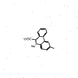 Cc1ccc2c(c1)-c1ccccc1C(C(=O)[O-])S2.[Na+]